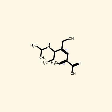 C/C=C(\C=C(\CO)C(CC)NC(C)C)C(=O)O